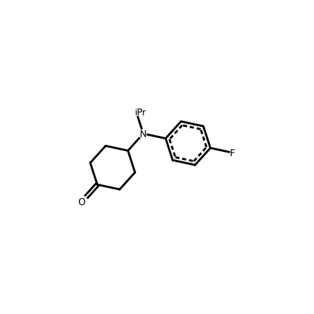 CC(C)N(c1ccc(F)cc1)C1CCC(=O)CC1